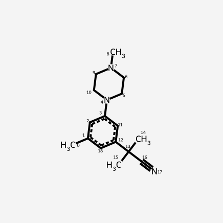 Cc1cc(N2CCN(C)CC2)cc(C(C)(C)C#N)c1